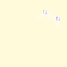 Cc1nnccc1C1CC1